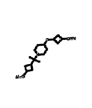 COC1CC(OC2CCN(C(C)(C)C3CC(OC)C3)CC2)C1